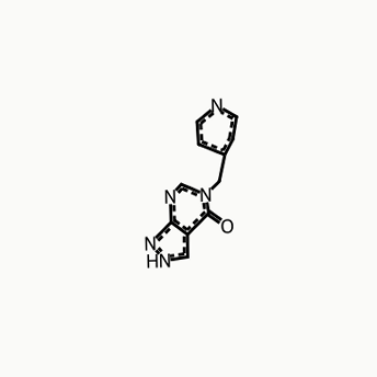 O=c1c2c[nH]nc2ncn1Cc1ccncc1